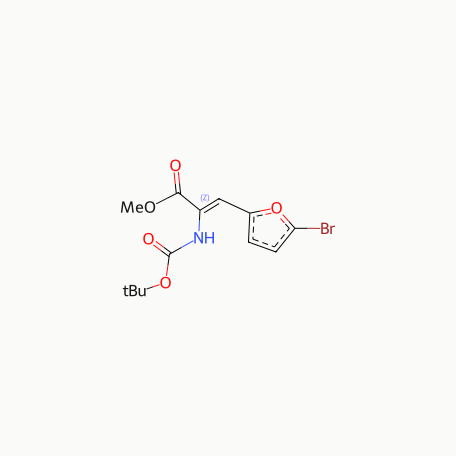 COC(=O)/C(=C/c1ccc(Br)o1)NC(=O)OC(C)(C)C